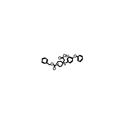 O=C(O)CC1(Sc2ccc(Oc3ccccc3)cc2)CCN(C(=O)OCc2ccccc2)CC1